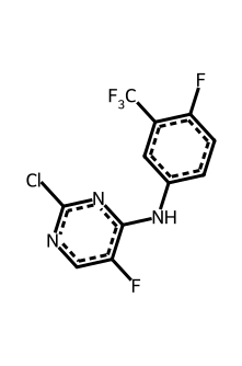 Fc1ccc(Nc2nc(Cl)ncc2F)cc1C(F)(F)F